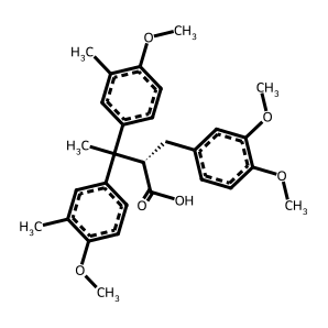 COc1ccc(C(C)(c2ccc(OC)c(C)c2)[C@H](Cc2ccc(OC)c(OC)c2)C(=O)O)cc1C